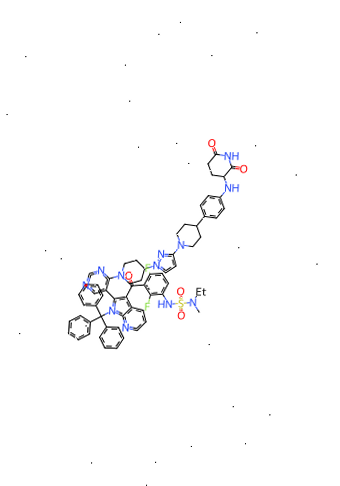 CCN(C)S(=O)(=O)Nc1ccc(F)c(C(=O)c2c(-c3cncnc3N3CCC(n4ccc(N5CCC(c6ccc(NC7CCC(=O)NC7=O)cc6)CC5)n4)CC3)n(C(c3ccccc3)(c3ccccc3)c3ccccc3)c3ncccc23)c1F